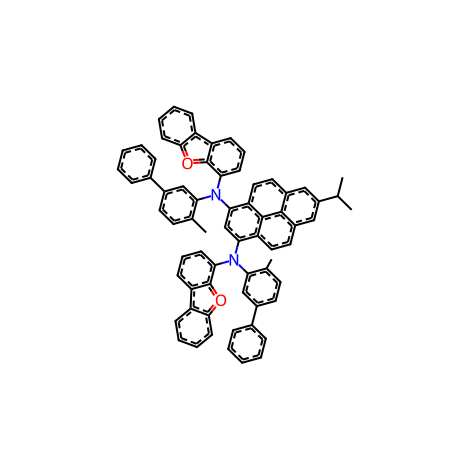 Cc1ccc(-c2ccccc2)cc1N(c1cc(N(c2cc(-c3ccccc3)ccc2C)c2cccc3c2oc2ccccc23)c2ccc3cc(C(C)C)cc4ccc1c2c43)c1cccc2c1oc1ccccc12